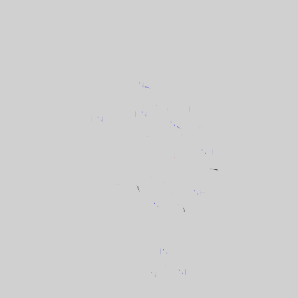 C[C@H](NC(=O)[C@@H](NC(=O)[C@H](Cc1c[nH]c2ccccc12)NC(=O)[C@@H](N)Cc1ccc(O)cc1)[C@@H](C)O)C(=O)N[C@@H](CCCNC(=N)N)C(=O)N1CCC[C@H]1C(=O)O